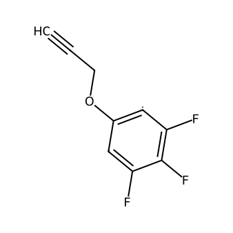 C#CCOc1[c]c(F)c(F)c(F)c1